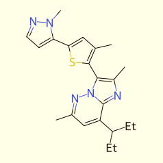 CCC(CC)c1cc(C)nn2c(-c3sc(-c4ccnn4C)cc3C)c(C)nc12